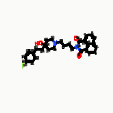 O=C1c2cccc3cccc(c23)C(=O)N1CCCCN1CCC(O)(CCc2ccc(F)cc2)CC1